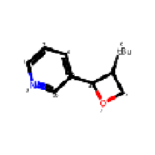 CC(C)(C)C1COC1c1cccnc1